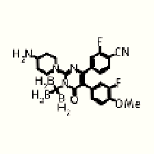 BC(B)(B)n1c(N2CCC(N)CC2)nc(-c2ccc(C#N)c(F)c2)c(-c2ccc(OC)c(F)c2)c1=O